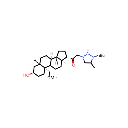 CCCCN1NN(CC(=O)[C@H]2CC[C@H]3[C@@H]4CC[C@H]5C[C@H](O)CC[C@]5(COC)C4CC[C@]23C)CC1C